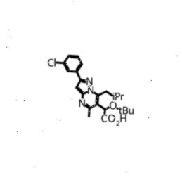 Cc1nc2cc(-c3cccc(Cl)c3)nn2c(CC(C)C)c1C(OC(C)(C)C)C(=O)O